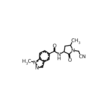 CC1CC(NC(=O)c2ccc3c(cnn3C)c2)C(=O)N1CC#N